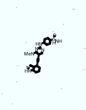 CNc1nc(Nc2ccc([SH](=N)=O)cc2)ncc1C#Cc1cccc2[nH]ncc12